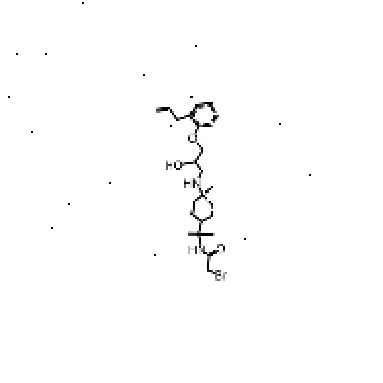 C=CCc1ccccc1OCC(O)CNC1(C)CCC(C(C)(C)NC(=O)CBr)CC1